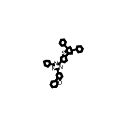 c1ccc(-c2cc(-c3ccccc3)c3sc4cc(-c5nc(-c6ccccc6)nc(-c6ccc7oc8ccccc8c7c6)n5)ccc4c3c2)cc1